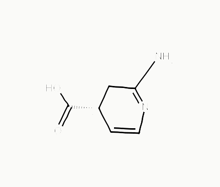 NC1=NC=C[C@H](C(=O)O)C1